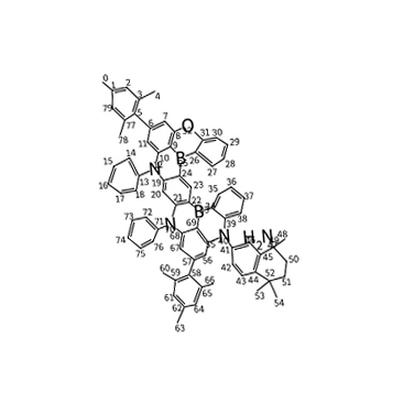 Cc1cc(C)c(-c2cc3c4c(c2)N(c2ccccc2)c2cc5c(cc2B4c2ccccc2O3)B2c3ccccc3N(c3ccc4c(c3)C(C)(N)CCC4(C)C)c3cc(-c4c(C)cc(C)cc4C)cc(c32)N5c2ccccc2)c(C)c1